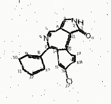 O=c1[nH]cc2cnc(C3=CCCC=C3)c3cc(Cl)ccc3c1-2